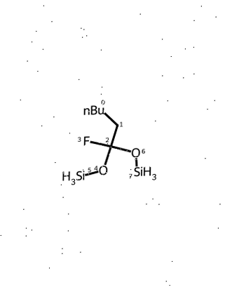 CCCCCC(F)(O[SiH3])O[SiH3]